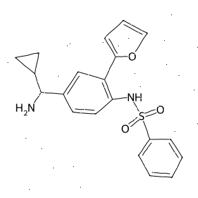 NC(c1ccc(NS(=O)(=O)c2ccccc2)c(-c2ccco2)c1)C1CC1